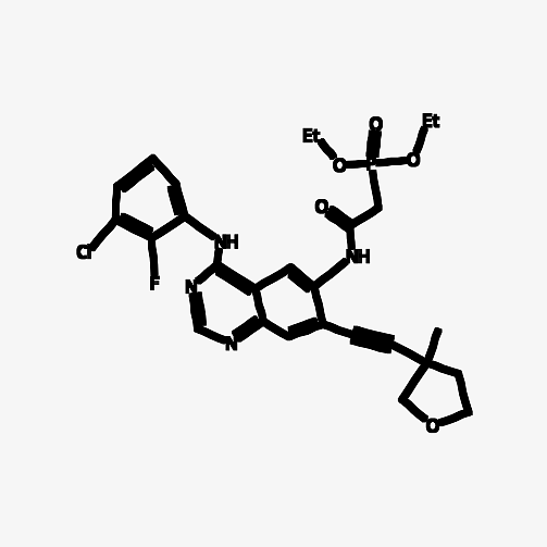 CCOP(=O)(CC(=O)Nc1cc2c(Nc3cccc(Cl)c3F)ncnc2cc1C#CC1(C)CCOC1)OCC